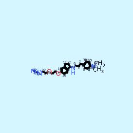 CN(C)c1ccc(CCCNC2CCc3cc(OCCOCCN=[N+]=[N-])ccc32)cc1